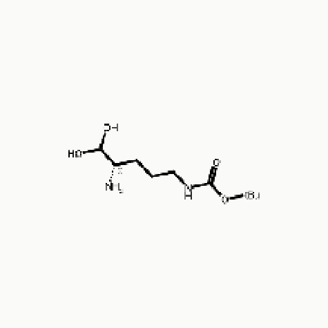 CC(C)(C)OC(=O)NCCC[C@H](N)C(O)O